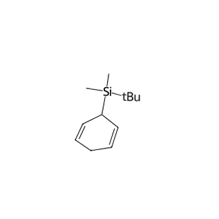 CC(C)(C)[Si](C)(C)C1C=CCC=C1